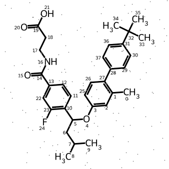 Cc1cc(OC(CC(C)C)c2ccc(C(=O)NCCC(=O)O)cc2F)ccc1-c1ccc(C(C)(C)C)cc1